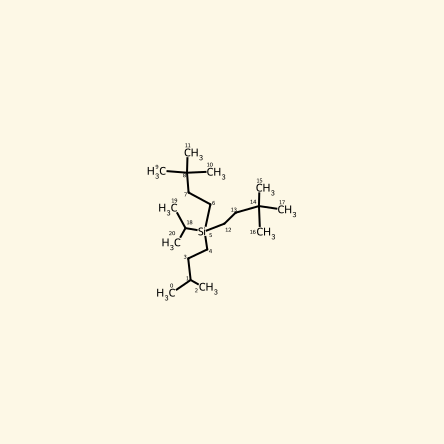 CC(C)CC[Si](CCC(C)(C)C)(CCC(C)(C)C)C(C)C